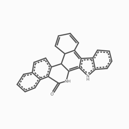 O=C1NC2=c3[nH]c4ccccc4c3=C3C=CC=CC3C2c2ccc3ccccc3c21